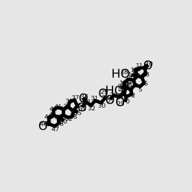 CC1CC2C3CCC4=CC(=O)C=CC4(C)C3(F)C(O)CC2(C)C1(O)C(=O)COC(=O)CCCC(=O)OC1CCC2C3CCC4=CC(=O)CCC4(C)C3CCC12C